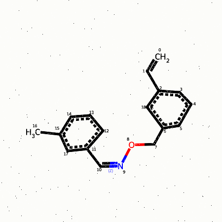 C=Cc1cccc(CO/N=[C]\c2cccc(C)c2)c1